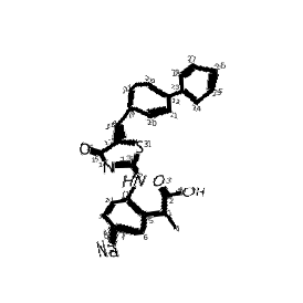 CC(C(=O)O)c1c[c]([Na])ccc1NC1=NC(=O)C(=Cc2ccc(-c3ccccc3)cc2)S1